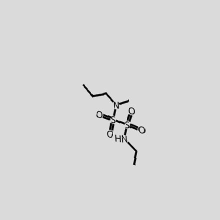 CCCN(C)S(=O)(=O)S(=O)(=O)NCC